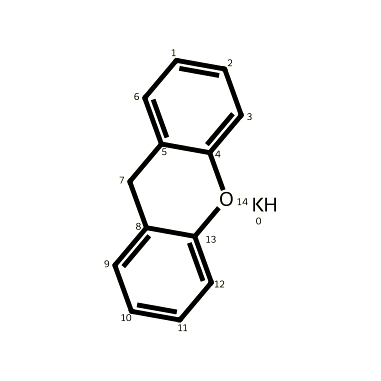 [KH].c1ccc2c(c1)Cc1ccccc1O2